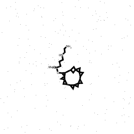 CO[SiH](CCCNCCN)OC1C2C3CC4(C3)CC43CC3C3CC34CC43CC3C3CC34CC124